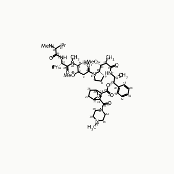 CC[C@H](C)[C@@H]([C@@H](CC(=O)N1CCC[C@H]1[C@H](OC)[C@@H](C)C(=O)N[C@H](C)[C@@H](OC(=O)C1C2CCC(O2)C1C(=O)N1CCN(C)CC1)c1ccccc1)OC)N(C)C(=O)[C@@H](NC(=O)[C@@H](NC)C(C)C)C(C)C